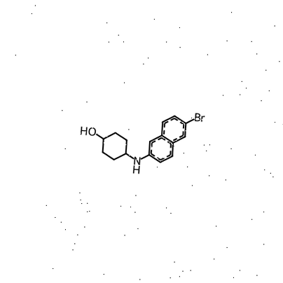 OC1CCC(Nc2ccc3cc(Br)ccc3c2)CC1